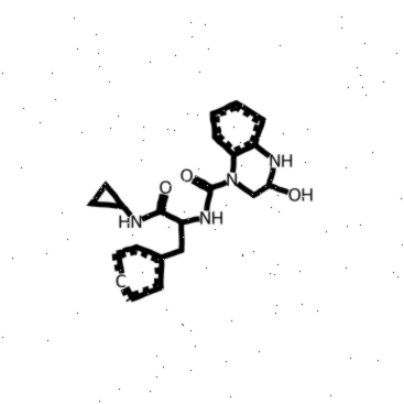 O=C(NC1CC1)C(Cc1ccccc1)NC(=O)N1CC(O)Nc2ccccc21